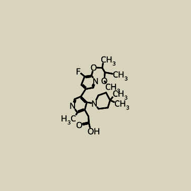 COC(C)C(C)Oc1ncc(-c2cnc(C)c(CC(=O)O)c2N2CCC(C)(C)CC2)cc1F